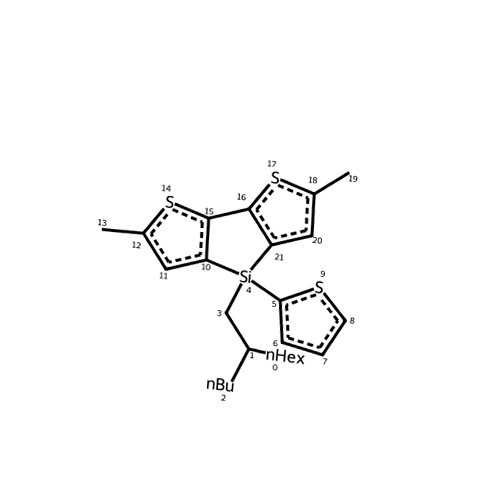 CCCCCCC(CCCC)C[Si]1(c2cccs2)c2cc(C)sc2-c2sc(C)cc21